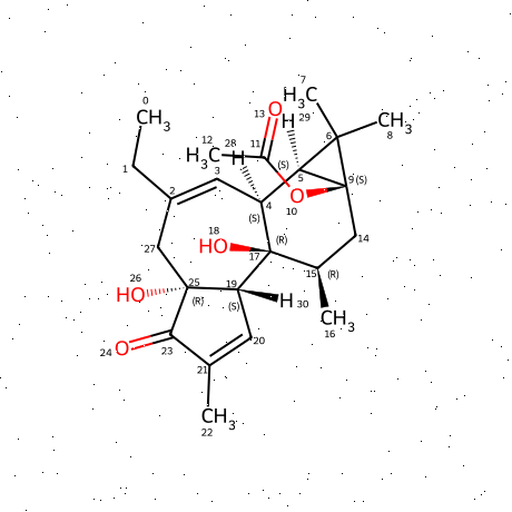 CCC1=C[C@H]2[C@H]3C(C)(C)[C@]3(OC(C)=O)C[C@@H](C)[C@]2(O)[C@@H]2C=C(C)C(=O)[C@@]2(O)C1